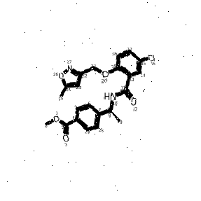 COC(=O)c1ccc([C@H](C)NC(=O)c2cc(Cl)ccc2OCc2cc(C)on2)cc1